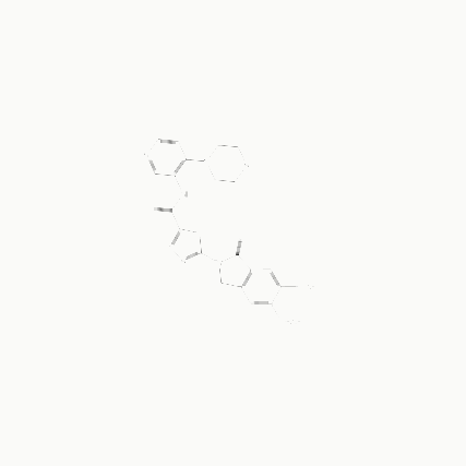 COc1cc2c(cc1OC)C(=O)N(c1ncc(C(=O)Nc3cnccc3N3CCNCC3)o1)C2